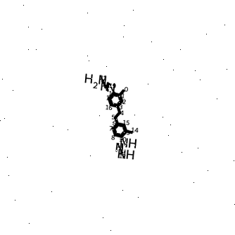 Cc1cc(CCc2ccc(NN=N)c(C)c2)ccc1N=NN